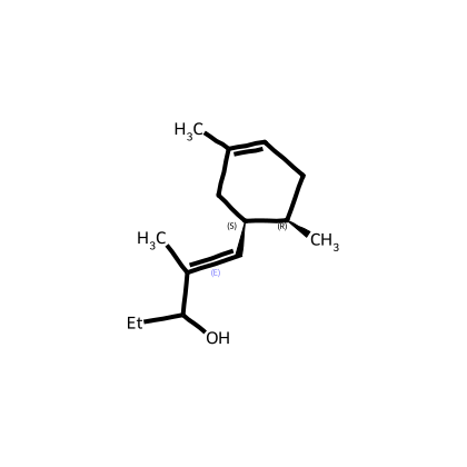 CCC(O)/C(C)=C/[C@H]1CC(C)=CC[C@H]1C